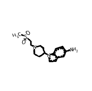 CS(=O)(=O)CCN1CCC(n2ccc3cc(N)ccc32)CC1